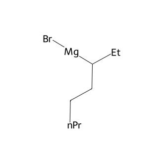 CCCCC[CH](CC)[Mg][Br]